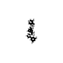 O=C([C@H]1C[C@@H](Cn2ncc3c(F)cncc32)C2CC1C2)N1N=CCC1c1cc(F)cc(F)c1